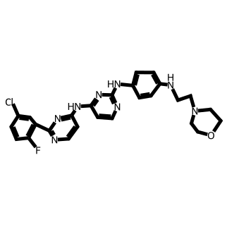 Fc1ccc(Cl)cc1-c1nccc(Nc2ccnc(Nc3ccc(NCCN4CCOCC4)cc3)n2)n1